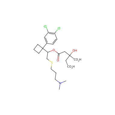 CN(C)CCCSCC(OC(=O)CC(O)(CC(=O)O)C(=O)O)C1(c2ccc(Cl)c(Cl)c2)CCC1